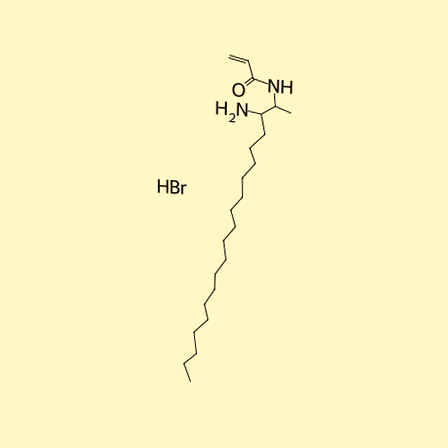 Br.C=CC(=O)NC(C)C(N)CCCCCCCCCCCCCCCCC